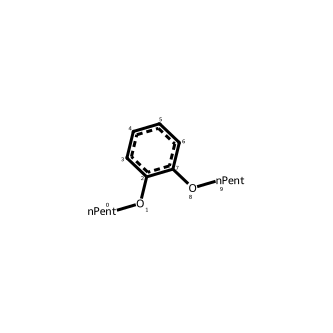 CCCCCOc1ccccc1OCCCCC